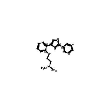 CN(C)CCOc1ccccc1-c1coc(-c2ccccc2)n1